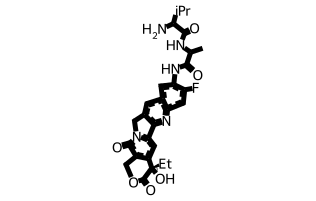 CC[C@@]1(O)C(=O)OCc2c1cc1n(c2=O)Cc2cc3cc(NC(=O)C(C)NC(=O)C(N)C(C)C)c(F)cc3nc2-1